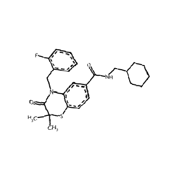 CC1(C)Sc2ccc(C(=O)NCC3CCCCC3)cc2N(Cc2ccccc2F)C1=O